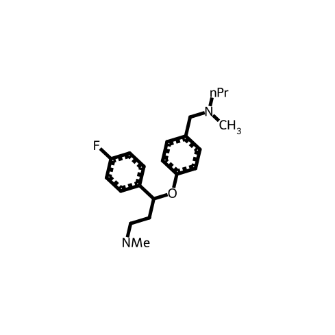 CCCN(C)Cc1ccc(OC(CCNC)c2ccc(F)cc2)cc1